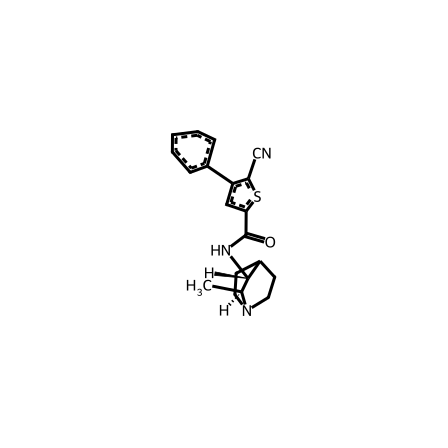 C[C@H]1[C@H](NC(=O)c2cc(-c3ccccc3)c(C#N)s2)C2CCN1CC2